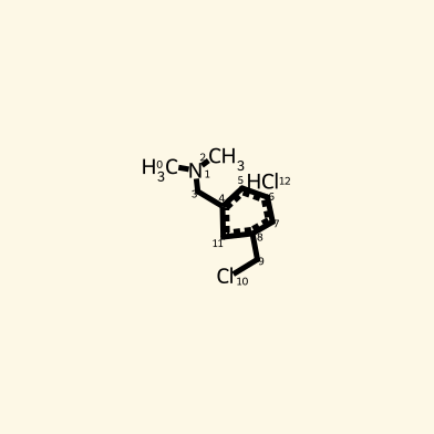 CN(C)Cc1cccc(CCl)c1.Cl